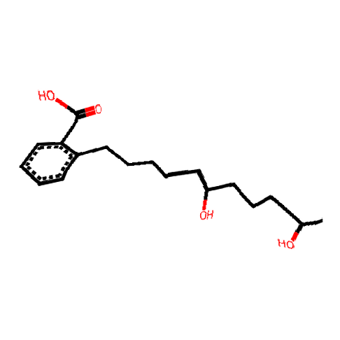 CC(O)CCCC(O)CCCCCc1ccccc1C(=O)O